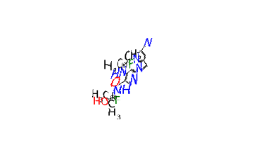 CC(F)[C@H](C)Nc1cc(-n2ccc3cc(C#N)cnc32)ncc1C(=O)NC[C@@H](F)C(C)(C)O